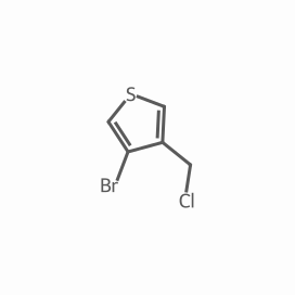 ClCc1cscc1Br